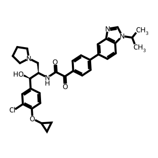 CC(C)n1cnc2cc(-c3ccc(C(=O)C(=O)N[C@H](CN4CCCC4)[C@H](O)c4ccc(OC5CC5)c(Cl)c4)cc3)ccc21